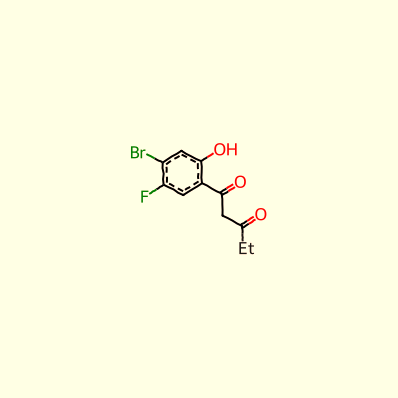 CCC(=O)CC(=O)c1cc(F)c(Br)cc1O